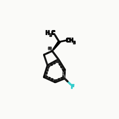 CC(C)[C@@H]1Cc2ccc(F)cc21